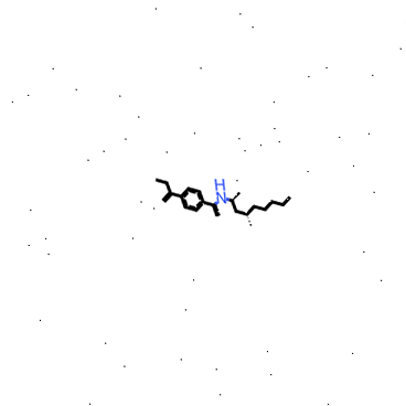 C=C(CC)c1ccc(C(=C)N[C@@H](C)C[C@@H](C)CCCCC)cc1